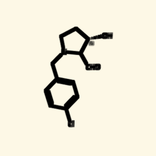 O=CC1[C@@H](O)CCN1Cc1ccc(Cl)cc1